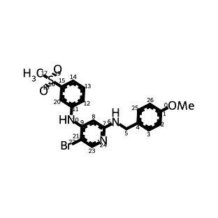 COc1ccc(CNc2cc(Nc3cccc(S(C)(=O)=O)c3)c(Br)cn2)cc1